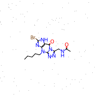 CCCCCn1c2nc(Br)[nH]c2c(=O)n2c(CNC(C)=O)nnc12